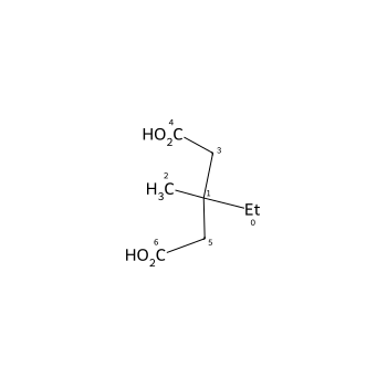 CCC(C)(CC(=O)O)CC(=O)O